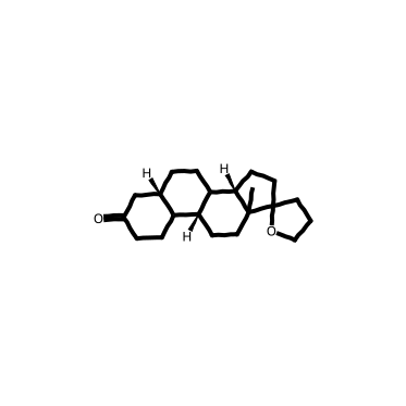 CC12CC[C@@H]3C4CCC(=O)C[C@@H]4CCC3[C@@H]1CCC21CCCO1